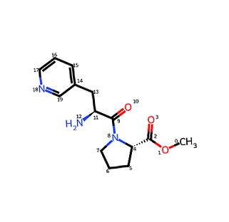 COC(=O)[C@@H]1CCCN1C(=O)[C@@H](N)Cc1cccnc1